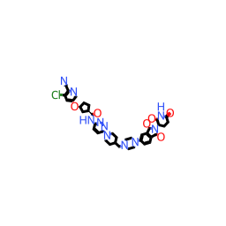 N#Cc1ncc(O[C@@H]2CC[C@@H](C(=O)Nc3ccc(N4CCC(CN5CCN(c6ccc7c(c6)C(=O)N(C6CCC(=O)NC6=O)C7=O)CC5)CC4)nn3)C2)cc1Cl